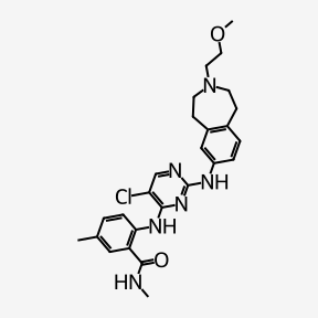 CNC(=O)c1cc(C)ccc1Nc1nc(Nc2ccc3c(c2)CCN(CCOC)CC3)ncc1Cl